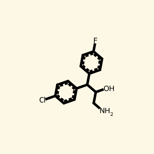 NCC(O)C(c1ccc(F)cc1)c1ccc(Cl)cc1